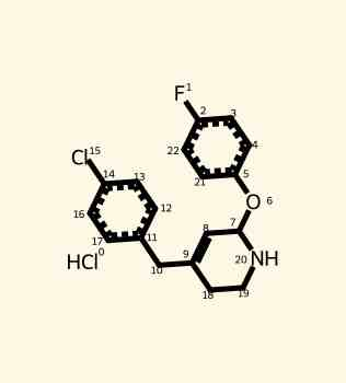 Cl.Fc1ccc(OC2C=C(Cc3ccc(Cl)cc3)CCN2)cc1